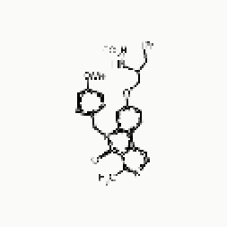 COc1ccc(Cn2c(=O)c3c(C)nccc3c3ccc(OCC(CC(C)C)NC(=O)O)cc32)cc1